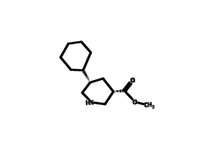 COC(=O)[C@@H]1CNC[C@H](C2CCCCC2)C1